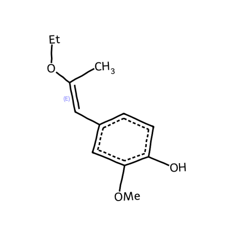 CCO/C(C)=C/c1ccc(O)c(OC)c1